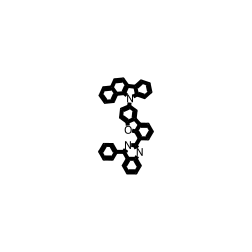 c1ccc(-c2nc(-c3cccc4c3oc3ccc(-n5c6ccccc6c6ccc7ccccc7c65)cc34)nc3ccccc23)cc1